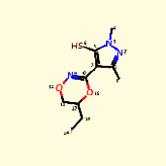 Cc1nn(C)c(S)c1C1=NOCC(CI)O1